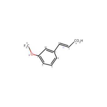 O=C(O)/C=C/c1c[c]cc(OC(F)(F)F)c1